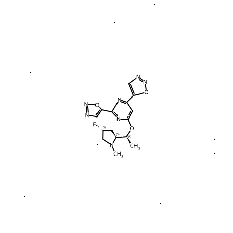 C[C@H](Oc1cc(-c2cnno2)nc(-c2cnno2)n1)[C@@H]1C[C@@H](F)CN1C